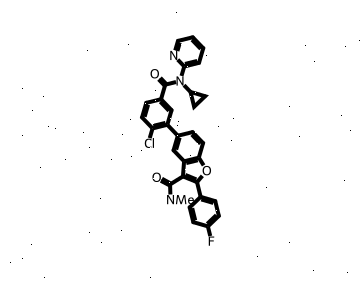 CNC(=O)c1c(-c2ccc(F)cc2)oc2ccc(-c3cc(C(=O)N(c4ccccn4)C4CC4)ccc3Cl)cc12